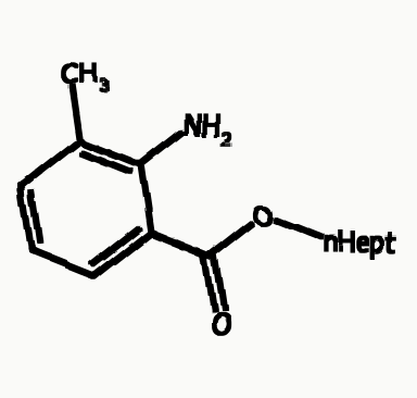 CCCCCCCOC(=O)c1cccc(C)c1N